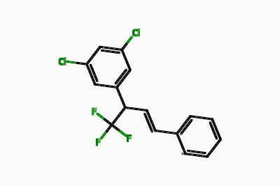 FC(F)(F)C(C=Cc1[c]cccc1)c1cc(Cl)cc(Cl)c1